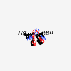 C#Cc1cccc(C[C@H](NC(=O)[C@H]2CCCO2)[C@@H](O)CN[C@H]2CC3(CCC3)Oc3ncc(CC(C)(C)C)cc32)c1